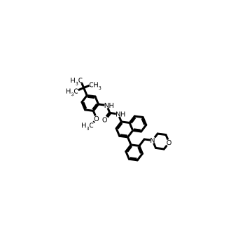 COc1ccc(C(C)(C)C)cc1NC(=O)Nc1ccc(-c2ccccc2CN2CCOCC2)c2ccccc12